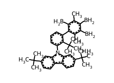 Bc1c(B)c(C)c(-c2cccc(-n3c4cc(C(C)(C)C)ccc4c4ccc(C(C)(C)C)cc43)c2C(C)(C)C)c(B)c1C